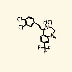 CN1CCN=C(C=Cc2ccc(Cl)c(Cl)c2)c2ccc(C(F)(F)F)cc21.Cl